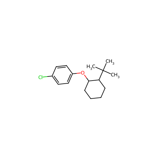 CC(C)(C)C1CCCCC1Oc1ccc(Cl)cc1